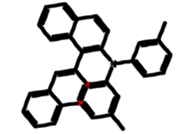 Cc1cccc(N(c2cccc(C)c2)c2ccc3ccccc3c2-c2ccc3ccccc3c2)c1